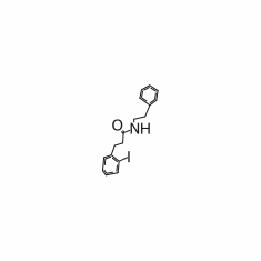 O=C(CCc1ccccc1I)NCCc1ccccc1